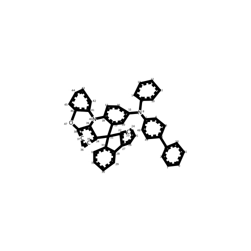 c1ccc(-c2ccc(N(c3ccccc3)c3ccc4c(c3)C3(c5ccccc5-c5ccccc53)c3cccc5c3N4c3ccccc3O5)cc2)cc1